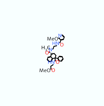 COC(=O)CCNC(=O)C1(c2ccccc2)CC[C@@H](C(=O)N(C)CCCNC(=O)c2cccnc2OC)c2ccccc21